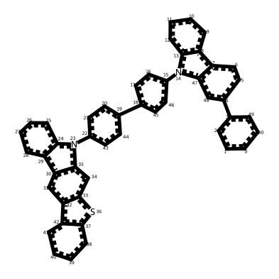 c1ccc(-c2ccc3c4ccccc4n(-c4ccc(-c5ccc(-n6c7ccccc7c7cc8c(cc76)sc6ccccc68)cc5)cc4)c3c2)cc1